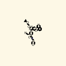 N#CC[C@H]1CN(c2nc(OCCOC3CC3)nc3c2CCN(c2cncc4cccc(Cl)c24)C3)CCN1C(=O)/C=C/CN1CCOCC1